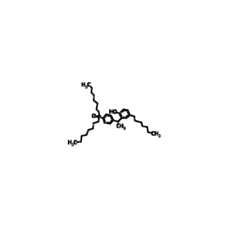 CCCCCCCCP(=O)(CCCCCCCC)c1ccc(C(C)c2cc(CCCCCCC)ccc2O)cc1